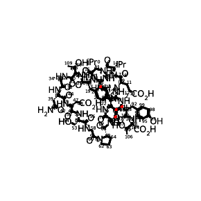 CC(C)[C@H](NC(=O)[C@@H](NC(=O)[C@@H](N)CCC(=O)O)C(C)C)C(=O)N[C@@H](Cc1ccccc1)C(=O)N[C@H](C(=O)N[C@@H](C)C(=O)N[C@@H](CC(N)=O)C(=O)N[C@@H](CC(=O)O)C(=O)N[C@@H](CO)C(=O)NCC(=O)N1CCC[C@H]1C(=O)N[C@@H](CCCNC(=N)N)C(=O)N[C@@H](CCCNC(=N)N)C(=O)N[C@@H](Cc1ccc(O)cc1)C(=O)N[C@H](C(=O)O)[C@@H](C)O)[C@@H](C)O